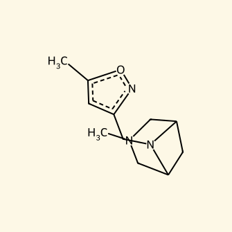 Cc1cc(CN2C3CC2CN(C)C3)no1